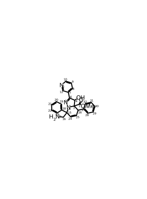 COC(=O)C12C(O)C(c3cccnc3)=NN1C(CN)(c1ccccc1)C=CC2c1ccccc1